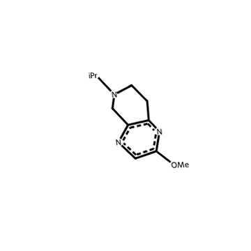 COc1cnc2c(n1)CCN(C(C)C)C2